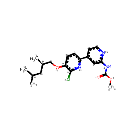 COC(=O)Nc1cc(-c2ccc(OC[C@H](C)CC(C)C)c(Cl)n2)ccn1